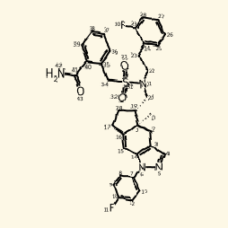 C[C@]12Cc3cnn(-c4ccc(F)cc4)c3C=C1CC[C@@H]2CN(CCc1ccccc1F)S(=O)(=O)Cc1ccccc1C(N)=O